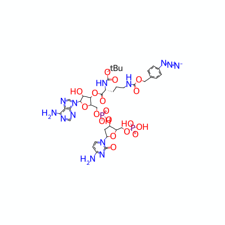 CC(C)(C)OC(=O)N[C@H](CCCNC(=O)OCc1ccc(N=[N+]=[N-])cc1)C(=O)OC1C(COP(=O)(O)OC2CC(n3ccc(N)nc3=O)OC2COP(=O)(O)O)OC(n2cnc3c(N)ncnc32)C1O